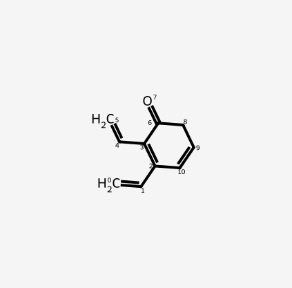 C=CC1=C(C=C)C(=O)CC=C1